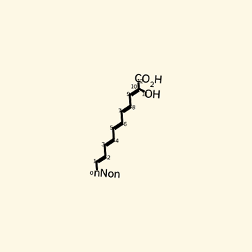 CCCCCCCCC/C=C/C=C/C=C/C=C/C=C(\O)C(=O)O